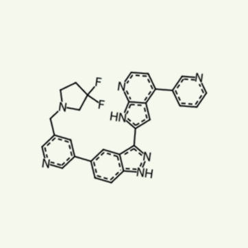 FC1(F)CCN(Cc2cncc(-c3ccc4[nH]nc(-c5cc6c(-c7cccnc7)ccnc6[nH]5)c4c3)c2)C1